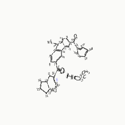 CC(=O)O.CCn1c2ccc(C(=O)/C(CC3CCCC3)=N/O)cc2c2cc(C(=O)c3cccs3)ccc21